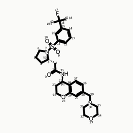 O=C(C[C@@H]1CCCN1S(=O)(=O)c1cccc(C(F)(F)F)c1)N[C@@H]1CCOc2cc(CN3CCOCC3)ccc21